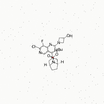 CC(C)(C)OC(=O)N1[C@@H]2CC[C@H]1CN(c1nc(N3CC(O)C3)nc3c(F)c(Cl)ncc13)C2